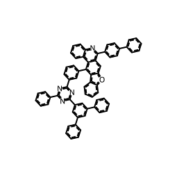 c1ccc(-c2ccc(-c3nc4ccccc4c4c(-c5cccc(-c6nc(-c7ccccc7)nc(-c7cc(-c8ccccc8)cc(-c8ccccc8)c7)n6)c5)c5c(cc34)oc3ccccc35)cc2)cc1